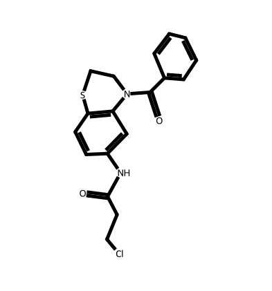 O=C(CCCl)Nc1ccc2c(c1)N(C(=O)c1ccccc1)CCS2